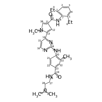 CCc1cccc(CC)c1NC(=O)c1cc(-c2ccnc(Nc3ccc(C(=O)NCCN(C)C)cc3C)n2)n(C)c1